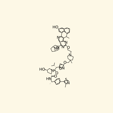 Cc1ncsc1-c1ccc([C@H](C)NC(=O)[C@@H]2C[C@@H](O)CN2C(=O)[C@@H](c2cc(OCC3(C)CCN(CCOc4nc(N5CC6CCC(C5)N6)c5cnc6c(c5n4)C(C)c4cccc5cc(O)cc-6c45)CC3)no2)C(C)C)cc1